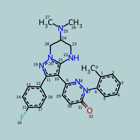 Cc1ccccc1-n1nc(-c2c(-c3ccc(F)cc3)nn3c2NCC(N(C)C)C3)ccc1=O